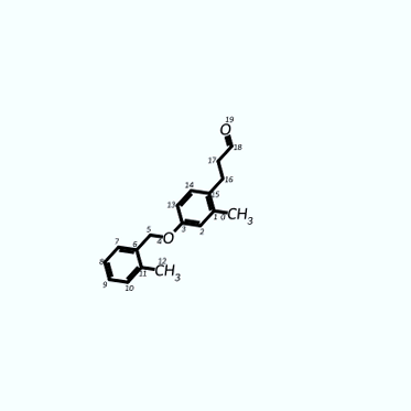 Cc1cc(OCc2ccccc2C)ccc1CCC=O